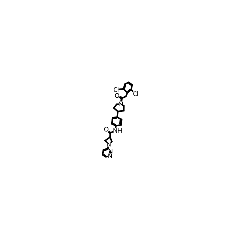 O=C(Nc1ccc(C2CCN(C(=O)Cc3c(Cl)cccc3Cl)CC2)cc1)C1CN(c2cccnn2)C1